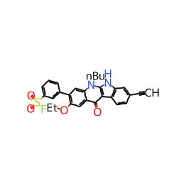 C#Cc1ccc2c(c1)[nH]c1c2c(=O)c2cc(OCC)c(-c3cccc(S(=O)(=O)F)c3)cc2n1CCCC